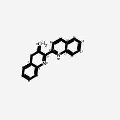 C=C1Cc2ccccc2N=C1c1ccc2ccccc2n1